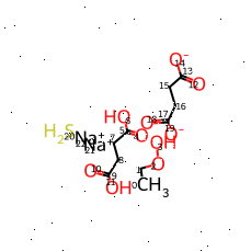 CCOO.O=C(O)CCC(=O)O.O=C([O-])CCC(=O)[O-].S.[Na+].[Na+]